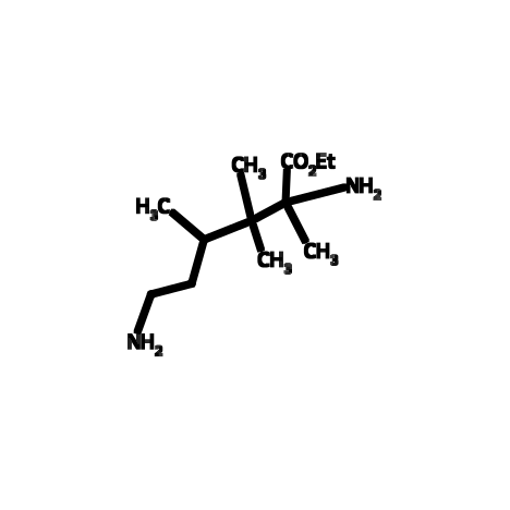 CCOC(=O)C(C)(N)C(C)(C)C(C)CCN